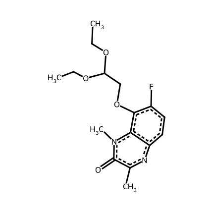 CCOC(COc1c(F)ccc2nc(C)c(=O)n(C)c12)OCC